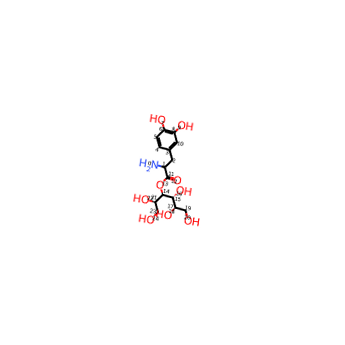 NC(Cc1ccc(O)c(O)c1)C(=O)O[C@@H]([C@H](O)[C@H](O)CO)[C@H](O)CO